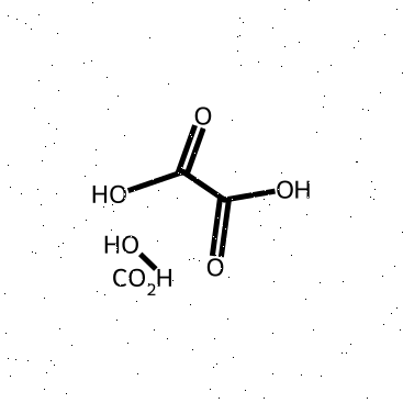 O=C(O)C(=O)O.O=C(O)O